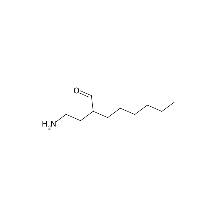 CCCCCCC(C=O)CCN